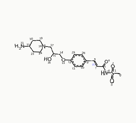 CS(=O)(=O)NC(=O)/C=C/c1ccc(OCC(O)CN2CCC(N)CC2)cc1